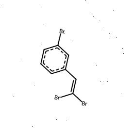 BrC(Br)=Cc1cccc(Br)c1